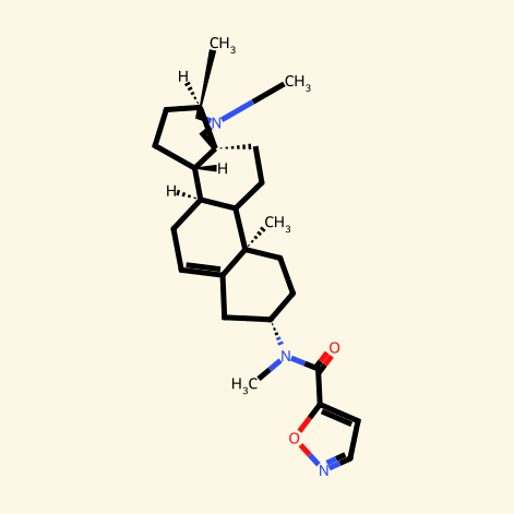 C[C@H]1[C@H]2CC[C@H]3[C@@H]4CC=C5C[C@@H](N(C)C(=O)c6ccno6)CC[C@]5(C)C4CC[C@]23CN1C